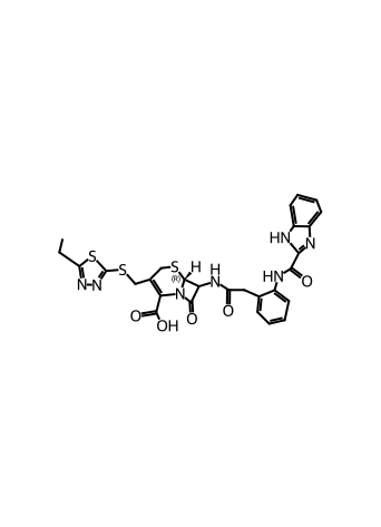 CCc1nnc(SCC2=C(C(=O)O)N3C(=O)C(NC(=O)Cc4ccccc4NC(=O)c4nc5ccccc5[nH]4)[C@H]3SC2)s1